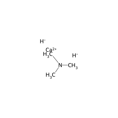 CN(C)C.[Ca+2].[H-].[H-]